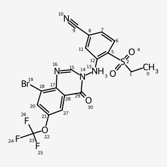 CCS(=O)(=O)c1ccc(C#N)cc1Nn1cnc2c(Br)cc(OC(F)(F)F)cc2c1=O